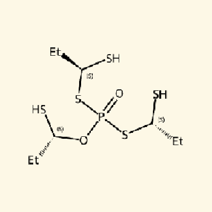 CC[C@@H](S)SP(=O)(O[C@@H](S)CC)S[C@H](S)CC